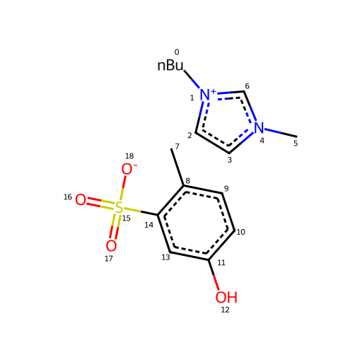 CCCC[n+]1ccn(C)c1.Cc1ccc(O)cc1S(=O)(=O)[O-]